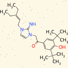 CCC(=CCn1ccn(CC(=O)c2cc(C(C)(C)C)c(O)c(C(C)(C)C)c2)c1=N)CC